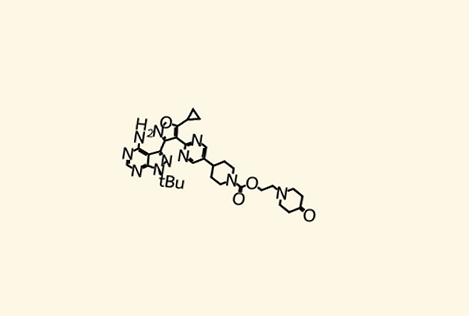 CC(C)(C)n1nc(-c2noc(C3CC3)c2-c2ncc(C3CCN(C(=O)OCCN4CCC(=O)CC4)CC3)cn2)c2c(N)ncnc21